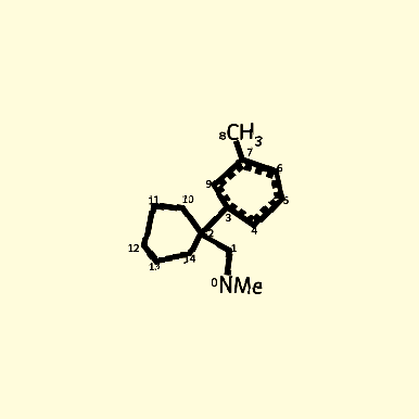 CNCC1(c2cccc(C)c2)CCCCC1